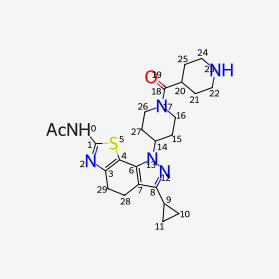 CC(=O)Nc1nc2c(s1)-c1c(c(C3CC3)nn1C1CCN(C(=O)C3CCNCC3)CC1)CC2